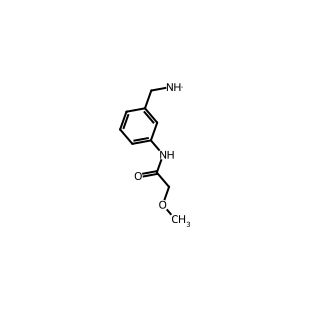 COCC(=O)Nc1cccc(C[NH])c1